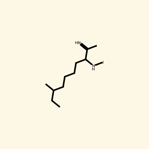 CCC(C)CCCCC(NI)C(C)=N